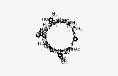 CC(=O)N[C@H]1CSCc2cccc(c2)CSC[C@@H](C(N)=O)NC(=O)[C@H]([C@@H](C)O)NC(=O)[C@](C)(C(C)C)NC(=O)[C@H](Cc2c(C)cc(O)cc2C)NC(=O)[C@H](C)NC(=O)C(C)(C)NC(=O)[C@H](Cc2c[nH]c3ncccc23)NC(=O)[C@H]([C@@H](C)O)NC(=O)[C@@H]2CCCN2C(=O)[C@H](Cc2ccc(NS(C)(=O)=O)cc2)NC(=O)[C@H](C(C)(C)C)NC1=O